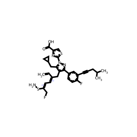 C=C/C(=C\C=C(/CF)SN)Cc1c(-c2ccc(F)c(C#CCC(C)C)c2)nn(-c2nc(C(=O)O)cs2)c1CC1CC1